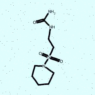 NC(=O)NCCS(=O)(=O)N1CCCCC1